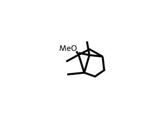 COC1(C)CC2CCC1(C)C2(C)C